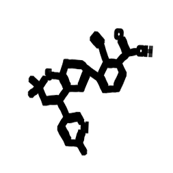 C#Cc1c(C(=O)O)cccc1-c1ccc2c(c1)C(c1ccc(C)nc1)=CC(C)(C)S2